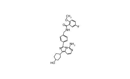 COc1ccc(F)cc1C(=O)NCc1ccc(-c2nc(C3CCC(O)CC3)c3ccnc(N)n23)cc1